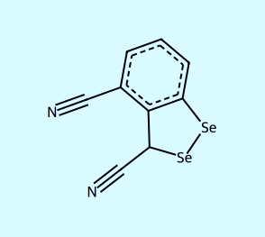 N#Cc1cccc2c1C(C#N)[Se][Se]2